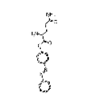 NC(=O)CC[C@H](N)C(=O)Oc1ccc(/N=N/c2ccccc2)cc1